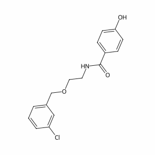 O=C(NCCOCc1cccc(Cl)c1)c1ccc(O)cc1